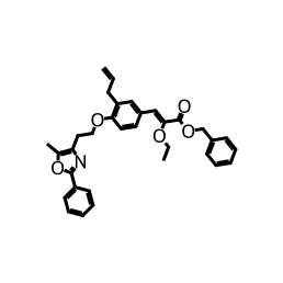 C=CCc1cc(/C=C(\OCC)C(=O)OCc2ccccc2)ccc1OCCc1nc(-c2ccccc2)oc1C